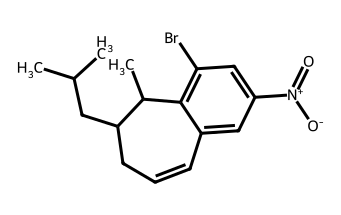 CC(C)CC1CC=Cc2cc([N+](=O)[O-])cc(Br)c2C1C